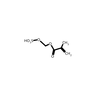 C=C(C)C(=O)OCOS(=O)(=O)O